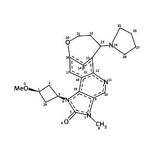 CO[C@H]1C[C@@H](n2c(=O)n(C)c3cnc4c5c(F)c(cc4c32)OCCC5N2CCCC2)C1